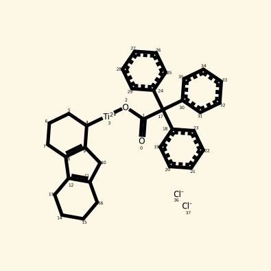 O=C([O][Ti+2][CH]1CCCC2=C1CC1=C2CCCC1)C(c1ccccc1)(c1ccccc1)c1ccccc1.[Cl-].[Cl-]